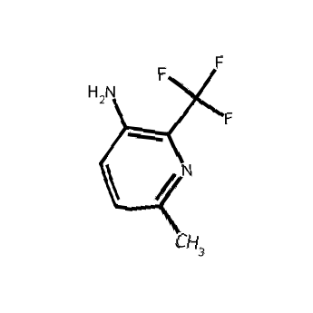 Cc1ccc(N)c(C(F)(F)F)n1